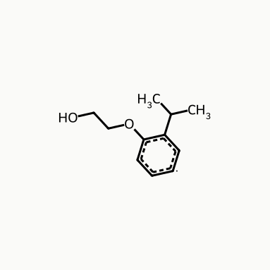 CC(C)c1c[c]ccc1OCCO